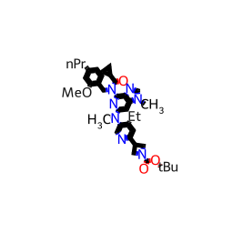 CCCc1ccc(CN(C(=O)C2CC2)c2nc(N(C)c3cnc(C4CN(C(=O)OC(C)(C)C)C4)cc3CC)cc3c2ncn3C)c(OC)c1